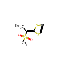 CCOC(=O)C(=C1SC=CS1)S(C)(=O)=O